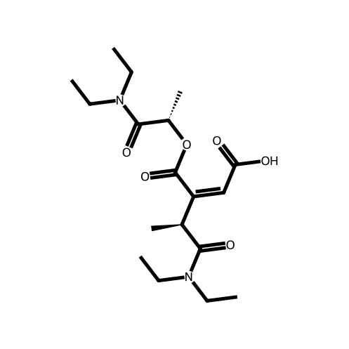 CCN(CC)C(=O)[C@@H](C)C(=CC(=O)O)C(=O)O[C@@H](C)C(=O)N(CC)CC